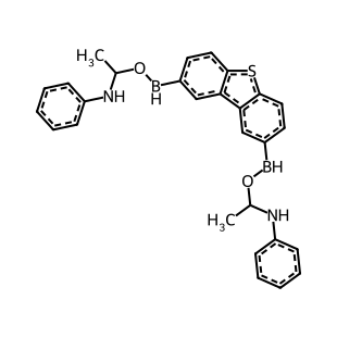 CC(Nc1ccccc1)OBc1ccc2sc3ccc(BOC(C)Nc4ccccc4)cc3c2c1